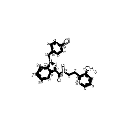 Cc1cccnc1CCNC(=O)c1nn(Cc2ccc(Cl)cc2)c2ccccc12